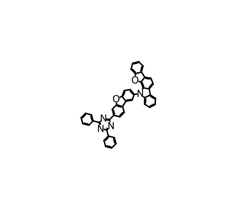 c1ccc(-c2nc(-c3ccccc3)nc(-c3ccc4c(c3)oc3ccc(-n5c6ccccc6c6ccc7c8ccccc8oc7c65)cc34)n2)cc1